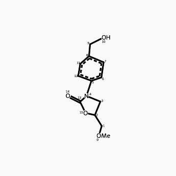 COCC1CN(c2ccc(CO)cc2)C(=O)O1